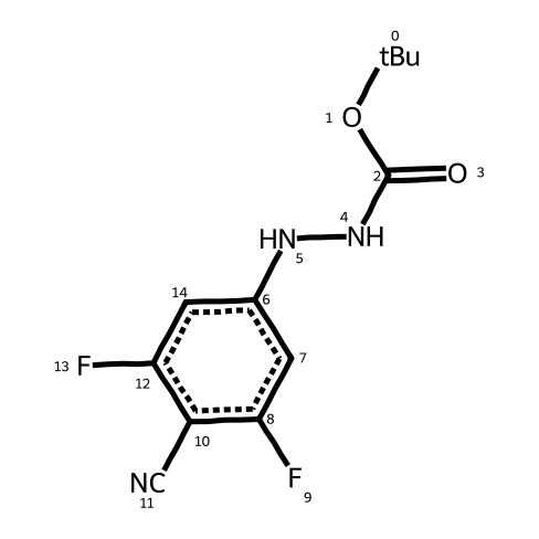 CC(C)(C)OC(=O)NNc1cc(F)c(C#N)c(F)c1